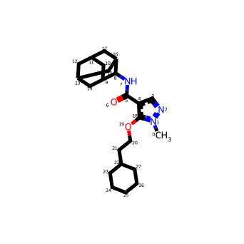 Cn1ncc(C(=O)NC2C3CC4CC(C3)CC2C4)c1OCCC1CCCCC1